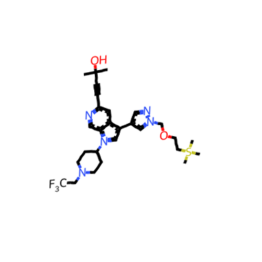 CC(C)(O)C#Cc1cc2c(-c3cnn(COCCS(C)(C)C)c3)cn(C3CCN(CC(F)(F)F)CC3)c2cn1